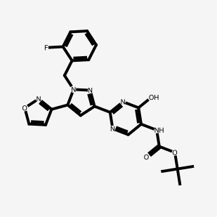 CC(C)(C)OC(=O)Nc1cnc(-c2cc(-c3ccon3)n(Cc3ccccc3F)n2)nc1O